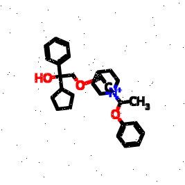 CC(Oc1ccccc1)[N+]12CCC(CC1)C(OCC(O)(c1ccccc1)C1CCCC1)C2